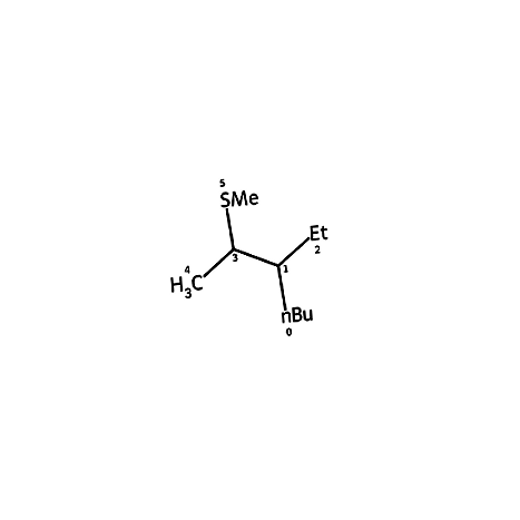 CCCCC(CC)C(C)SC